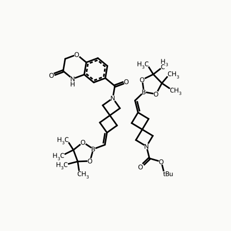 CC(C)(C)OC(=O)N1CC2(CC(=CB3OC(C)(C)C(C)(C)O3)C2)C1.CC1(C)OB(C=C2CC3(C2)CN(C(=O)c2ccc4c(c2)NC(=O)CO4)C3)OC1(C)C